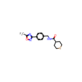 O=C(NCc1ccc(-c2noc(C(F)(F)F)n2)cc1)C1CCSCC1